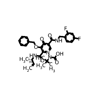 C=C[C@H](C)NC(=O)c1c(OCc2ccccc2)c(=O)c(C(=O)NCc2ccc(F)cc2F)cn1N(C(=O)O)C(C)(C)C